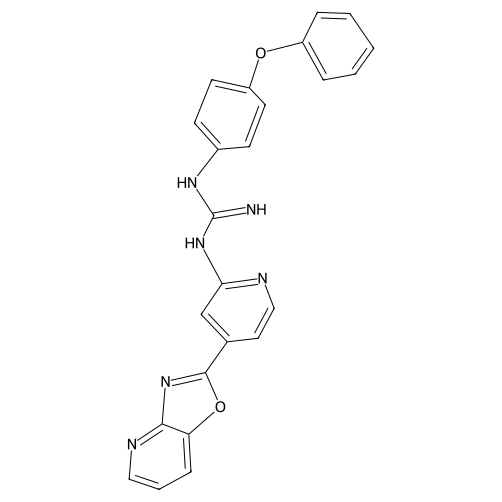 N=C(Nc1ccc(Oc2ccccc2)cc1)Nc1cc(-c2nc3ncccc3o2)ccn1